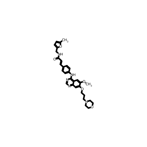 COc1cc2c(Nc3ccc(/C=C/C(=O)NCc4ccc(C)o4)cc3)ncnc2cc1OCCCN1CCOCC1